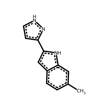 Cc1ccc2cc(-c3cc[nH]n3)[nH]c2c1